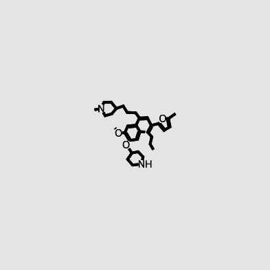 CCC/C=C(/C=C(/CCCC1CCN(C)CC1)c1cc(OC)c(OC2CCNCC2)cc1C)c1ccc(C)o1